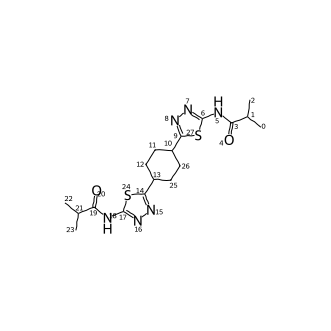 CC(C)C(=O)Nc1nnc(C2CCC(c3nnc(NC(=O)C(C)C)s3)CC2)s1